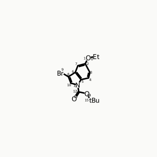 CCOc1ccc2c(c1)c(Br)cn2C(=O)OC(C)(C)C